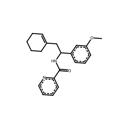 COc1cccc(C(CC2=CCCCC2)NC(=O)c2ccccn2)c1